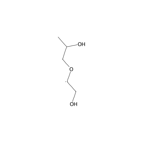 CC(O)CO[CH]CO